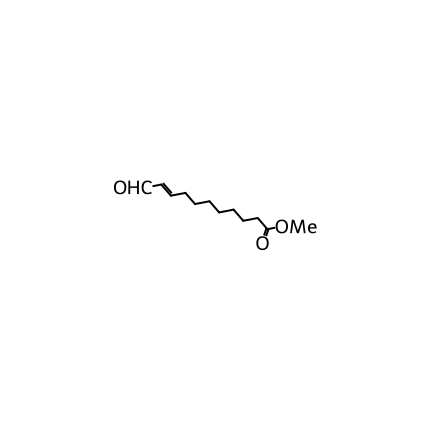 COC(=O)CCCCCCCC=CC=O